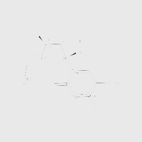 C[SiH](C)[C@]1(n2cc(C(C)(C)C)c(=O)[nH]c2=O)C[C@H](O)[C@@H](CO)O1